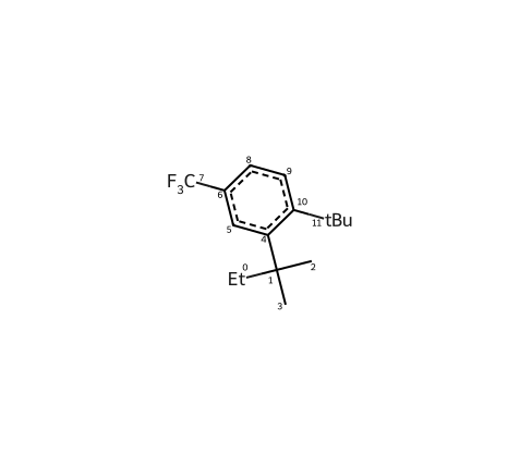 CCC(C)(C)c1cc(C(F)(F)F)ccc1C(C)(C)C